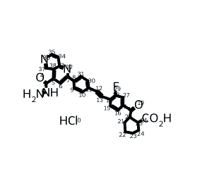 Cl.NNC(=O)c1cc(-c2ccc(C#Cc3ccc(C(=O)C4CCCCC4C(=O)O)cc3F)cc2)nc2ccncc12